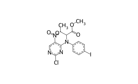 CCC(C(=O)OC)N(c1ccc(I)cc1)c1nc(Cl)ncc1[N+](=O)[O-]